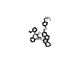 C=Cc1ccccc1N1Cc2ccccc2NC(CC(=O)O)C1=O.NCc1ccc(OCc2ccc3c(c2)=CCc2c4c(ccc2=3)=CCCC4)cc1